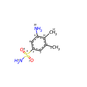 Cc1cc(S(N)(=O)=O)cc(N)c1C